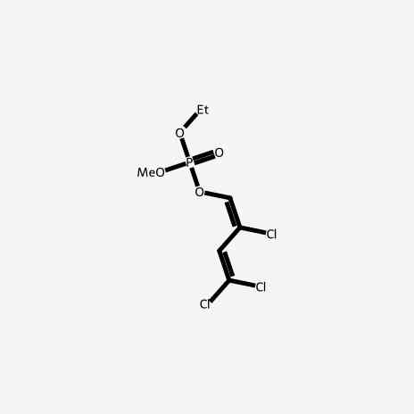 CCOP(=O)(OC)O/C=C(/Cl)C=C(Cl)Cl